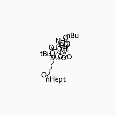 CCCCCCCC(=O)CCCCCCC=C[C@H](C(=O)N[C@@H](Cc1ccc(OCCCC)cc1)C(=O)OC)[C@@](O)(CC(N)=O)C(=O)OC(C)(C)C